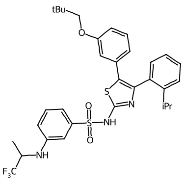 CC(C)c1ccccc1-c1nc(NS(=O)(=O)c2cccc(NC(C)C(F)(F)F)c2)sc1-c1cccc(OCC(C)(C)C)c1